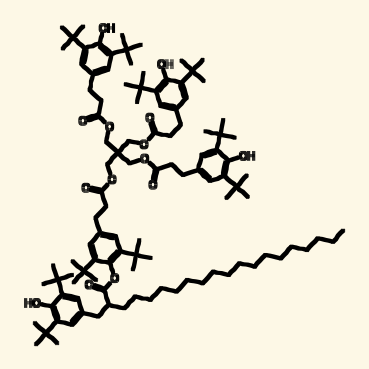 CCCCCCCCCCCCCCCCCCC(Cc1cc(C(C)(C)C)c(O)c(C(C)(C)C)c1)C(=O)Oc1c(C(C)(C)C)cc(CCC(=O)OCC(COC(=O)CCc2cc(C(C)(C)C)c(O)c(C(C)(C)C)c2)(COC(=O)CCc2cc(C(C)(C)C)c(O)c(C(C)(C)C)c2)COC(=O)CCc2cc(C(C)(C)C)c(O)c(C(C)(C)C)c2)cc1C(C)(C)C